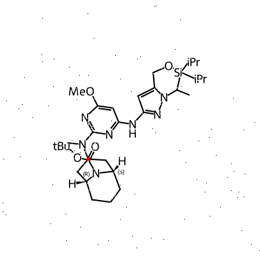 COc1cc(Nc2cc3n(n2)C(C)[Si](C(C)C)(C(C)C)OC3)nc(N(C)C2C[C@H]3CCC[C@@H](C2)N3C(=O)OC(C)(C)C)n1